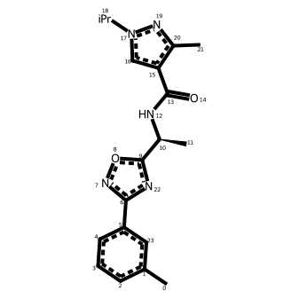 Cc1cccc(-c2noc([C@H](C)NC(=O)c3cn(C(C)C)nc3C)n2)c1